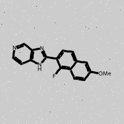 COc1ccc2c(F)c(-c3nc4cnccc4[nH]3)ccc2c1